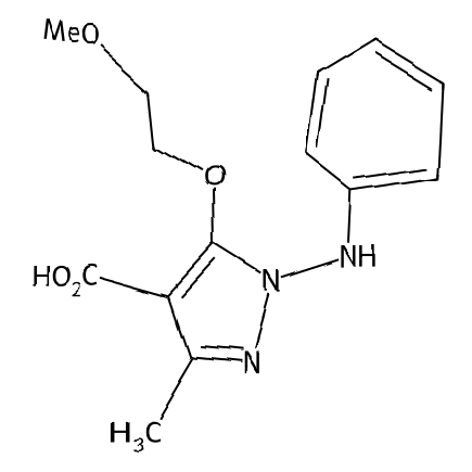 COCCOc1c(C(=O)O)c(C)nn1Nc1ccccc1